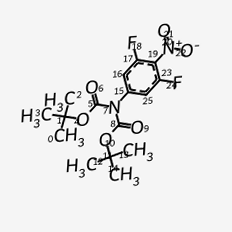 CC(C)(C)OC(=O)N(C(=O)OC(C)(C)C)c1cc(F)c([N+](=O)[O-])c(F)c1